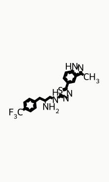 Cc1n[nH]c2ccc(-c3nnc(NC[C@H](N)Cc4ccc(C(F)(F)F)cc4)s3)cc12